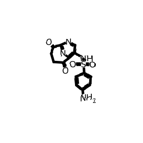 Nc1ccc(S(=O)(=O)Nc2cnc3nc2C(=O)CCC3=O)cc1